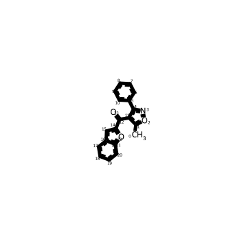 Cc1onc(-c2ccccc2)c1C(=O)c1cc2ccccc2o1